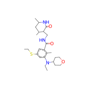 CCSc1cc(C(=O)NCC2C(=O)NC(C)CC2C)c(C)c(N(CC)C2CCOCC2)c1